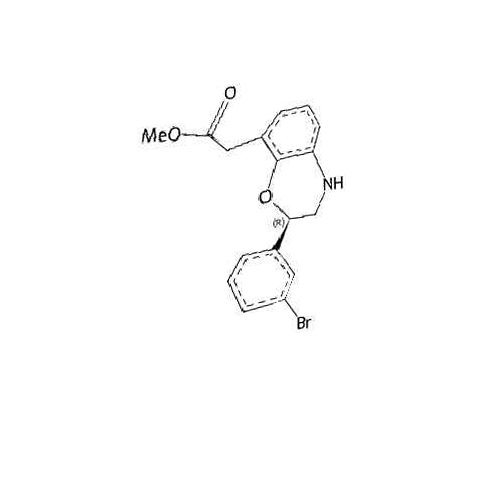 COC(=O)Cc1cccc2c1O[C@H](c1cccc(Br)c1)CN2